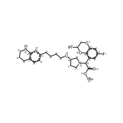 CC(C)C1COc2cc(F)cc(C(C(=O)OC(C)(C)C)N3CC[C@@H](OCCCCc4ccc5c(n4)NCCC5)C3)c2O1